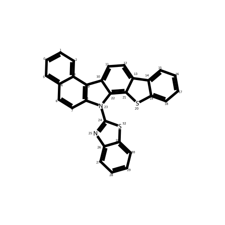 c1ccc2c(c1)ccc1c2c2ccc3c4ccccc4sc3c2n1-c1nc2ccccc2s1